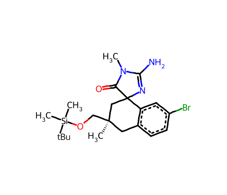 CN1C(=O)C2(C[C@](C)(CO[Si](C)(C)C(C)(C)C)Cc3ccc(Br)cc32)N=C1N